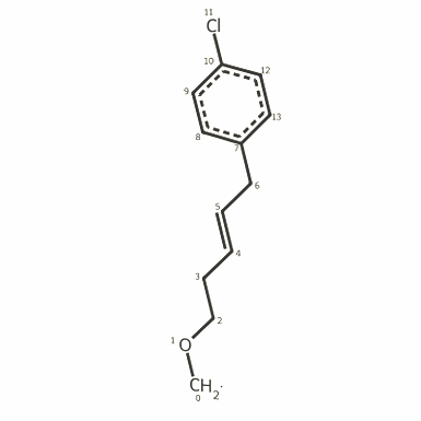 [CH2]OCCC=CCc1ccc(Cl)cc1